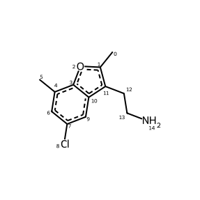 Cc1oc2c(C)cc(Cl)cc2c1CCN